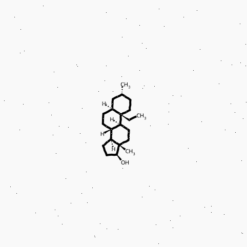 CC[C@]12CC[C@@H](C)C[C@@H]1CC[C@H]1[C@@H]3CC[C@H](O)[C@@]3(C)CC[C@@H]12